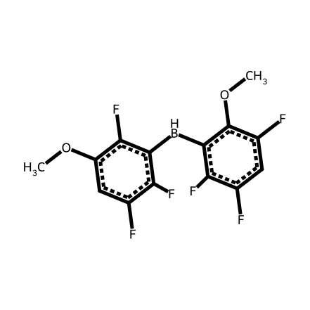 COc1cc(F)c(F)c(Bc2c(F)c(F)cc(F)c2OC)c1F